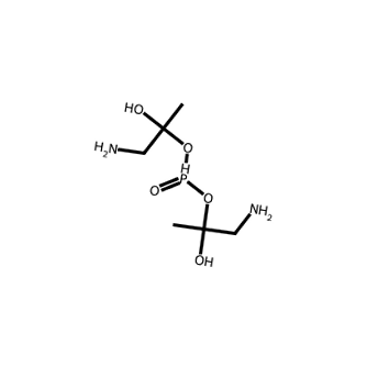 CC(O)(CN)O[PH](=O)OC(C)(O)CN